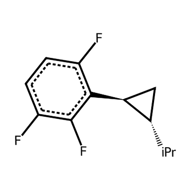 CC(C)[C@H]1C[C@@H]1c1c(F)ccc(F)c1F